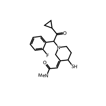 CNC(=O)C=C1CN(C(C(=O)C2CC2)c2ccccc2F)CCC1S